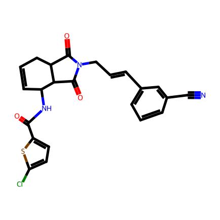 N#Cc1cccc(C=CCN2C(=O)C3CC=CC(NC(=O)c4ccc(Cl)s4)C3C2=O)c1